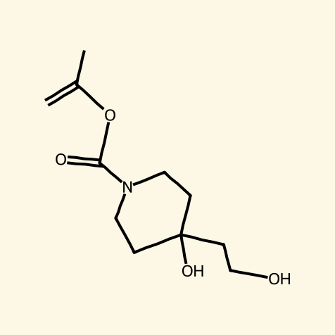 C=C(C)OC(=O)N1CCC(O)(CCO)CC1